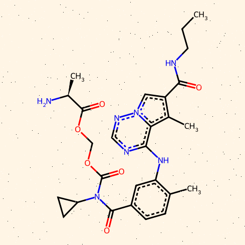 CCCNC(=O)c1cn2ncnc(Nc3cc(C(=O)N(C(=O)OCOC(=O)[C@H](C)N)C4CC4)ccc3C)c2c1C